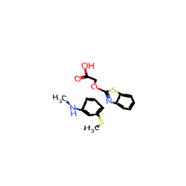 CNc1cccc(SC)c1.O=C(O)COc1nc2ccccc2s1